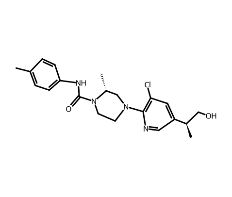 Cc1ccc(NC(=O)N2CCN(c3ncc([C@H](C)CO)cc3Cl)C[C@H]2C)cc1